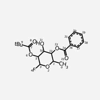 CC1OC(F)C(OC(=O)C(C)(C)C)C(O)C1OC(=O)c1ccccc1